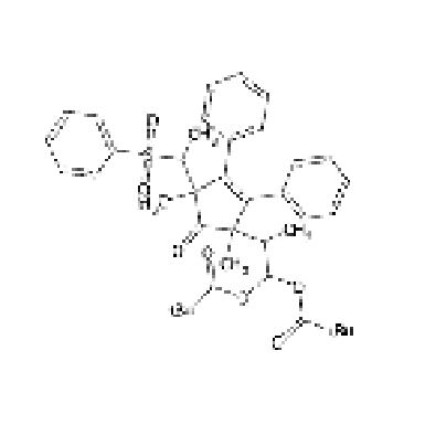 CC(C(OC(=O)C(C)(C)C)OC(=O)C(C)(C)C)C1(C)C(=O)C(C)(C(C)S(=O)(=O)c2ccccc2)C(c2ccccc2)=C1c1ccccc1